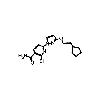 NC(=O)c1ccc(-n2ccc(OCCC3CCCC3)n2)nc1Cl